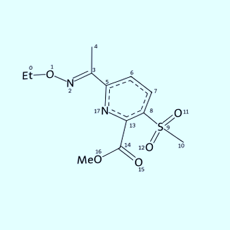 CCON=C(C)c1ccc(S(C)(=O)=O)c(C(=O)OC)n1